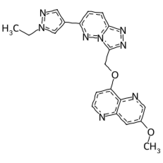 CCn1cc(-c2ccc3nnc(COc4ccnc5cc(OC)cnc45)n3n2)cn1